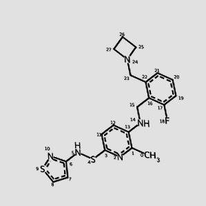 Cc1nc(SNc2ccsn2)ccc1NCc1c(F)cccc1CN1CCC1